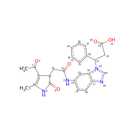 CC(=O)C1=C(C)NC(=O)C1CC(=O)Nc1ccc2ncn(C(CC(=O)O)c3ccccc3)c2c1